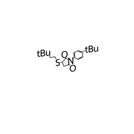 CC(C)(C)CCSC1CC(=O)N(c2ccc(C(C)(C)C)cc2)C1=O